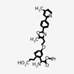 Cc1ccnc(-c2ccc(-c3nc(CCOc4ccc(CCC(=O)O)c(C(N)C(=O)OC(C)C)c4)c(C)o3)cc2)c1